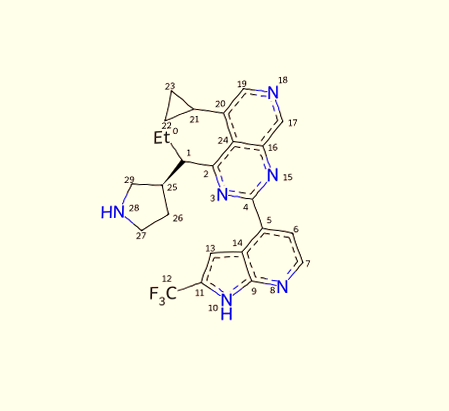 CCC(c1nc(-c2ccnc3[nH]c(C(F)(F)F)cc23)nc2cncc(C3CC3)c12)[C@H]1CCNC1